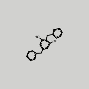 Oc1cc(Cc2ccccc2)cc(O)c1Cc1ccccc1